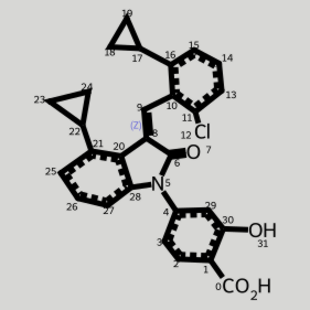 O=C(O)c1ccc(N2C(=O)/C(=C\c3c(Cl)cccc3C3CC3)c3c(C4CC4)cccc32)cc1O